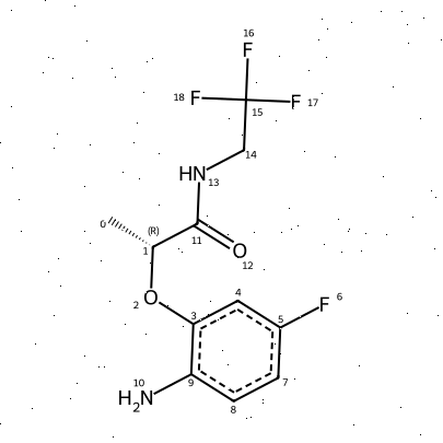 C[C@@H](Oc1cc(F)ccc1N)C(=O)NCC(F)(F)F